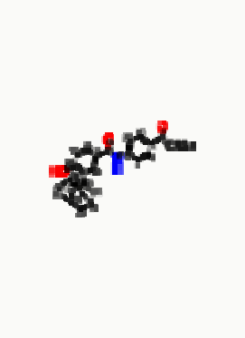 COC(=O)c1ccc(NC(=O)c2ccc(O)c(C34CC5CC(CC(C5)C3)C4)c2)cc1